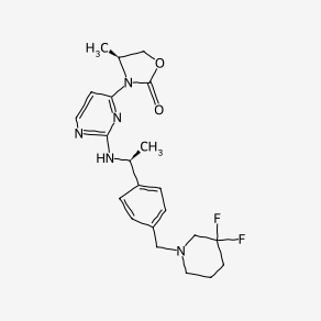 C[C@H](Nc1nccc(N2C(=O)OC[C@@H]2C)n1)c1ccc(CN2CCCC(F)(F)C2)cc1